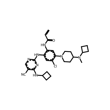 C=CC(=O)Nc1cc(N2CCC(N(C)C3CCC3)CC2)c(Cl)cc1Nc1ncc(C#N)c(NC2CCC2)n1